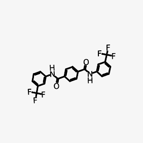 O=C(Nc1cccc(C(F)(F)F)c1)c1ccc(C(=O)Nc2cccc(C(F)(F)F)c2)cc1